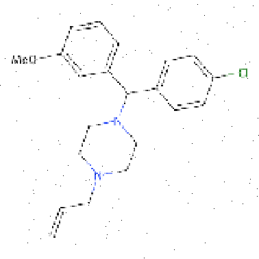 C=CCN1CCN(C(c2ccc(Cl)cc2)c2cccc(OC)c2)CC1